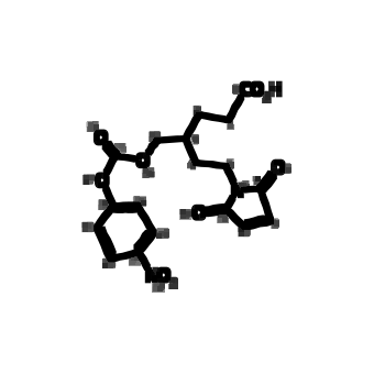 O=C(O)CCC(CCN1C(=O)C=CC1=O)COC(=O)Oc1ccc([N+](=O)[O-])cc1